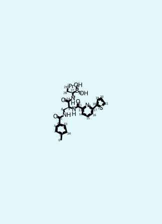 Cc1ccc(C(=O)NC[C@H](NC(=O)c2cccc(-c3cccs3)n2)C(=O)N[C@@H](CC(C)C)B(O)O)cc1